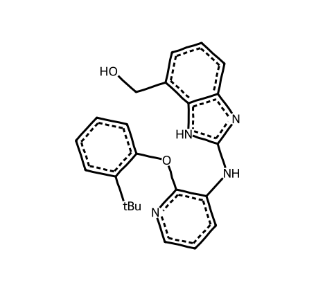 CC(C)(C)c1ccccc1Oc1ncccc1Nc1nc2cccc(CO)c2[nH]1